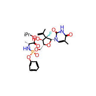 C=C(C)[C@@]1(F)[C@H](O)[C@@H](COP(=O)(N[C@H](C)C(=O)OC(C)C)Oc2ccccc2)O[C@H]1n1cc(C)c(=O)[nH]c1=O